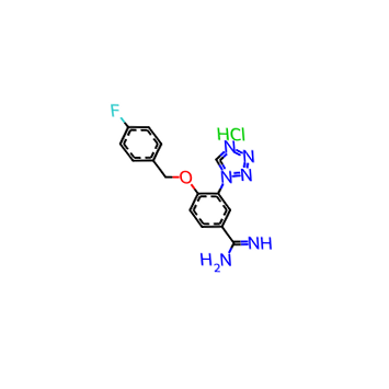 Cl.N=C(N)c1ccc(OCc2ccc(F)cc2)c(-n2cnnn2)c1